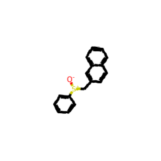 [O-][S+](Cc1ccc2ccccc2c1)c1ccccc1